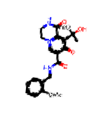 COc1ccccc1CNC(=O)c1cn2c(c(C(C)(O)OC)c1=O)C(=O)NCC2